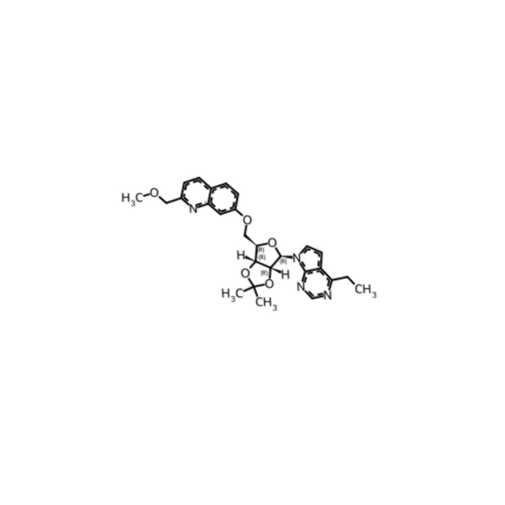 CCc1ncnc2c1ccn2[C@@H]1O[C@H](COc2ccc3ccc(COC)nc3c2)[C@H]2OC(C)(C)O[C@H]21